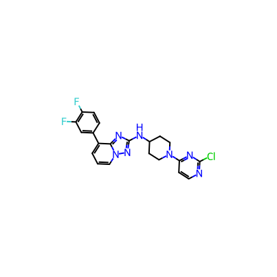 Fc1ccc(-c2cccn3nc(NC4CCN(c5ccnc(Cl)n5)CC4)nc23)cc1F